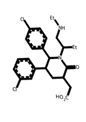 CCNCC(CC)N1C(=O)C(CC(=O)O)CC(c2cccc(Cl)c2)C1c1ccc(Cl)cc1